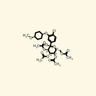 CO[C@H]1CC[C@@H](Oc2cc([C@]3(O)O[C@H](COC(C)=O)[C@@H](OC(C)=O)[C@H](OC(C)=O)[C@H]3OC(C)=O)ccc2Cl)CC1